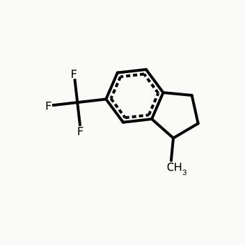 CC1CCc2ccc(C(F)(F)F)cc21